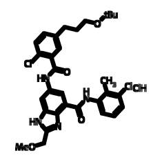 COCc1nc2c(C(=O)Nc3cccc(Cl)c3C)cc(NC(=O)c3cc(CCCOC(C)(C)C)ccc3Cl)cc2[nH]1.Cl